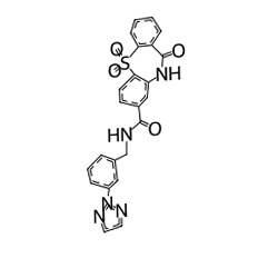 O=C(NCc1cccc(-n2nccn2)c1)c1ccc2c(c1)NC(=O)c1ccccc1S2(=O)=O